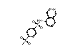 CS(=O)(=O)c1ccc(S(=O)(=O)Nc2cccc3cnccc23)cc1